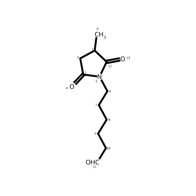 CC1CC(=O)N(CCCCCC=O)C1=O